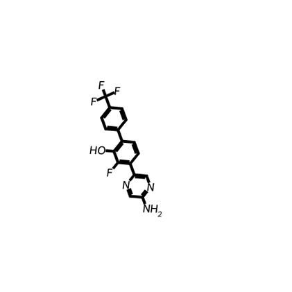 Nc1cnc(-c2ccc(-c3ccc(C(F)(F)F)cc3)c(O)c2F)cn1